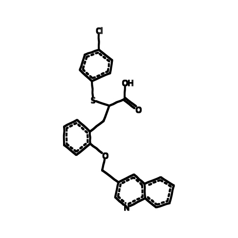 O=C(O)C(Cc1ccccc1OCc1cnc2ccccc2c1)Sc1ccc(Cl)cc1